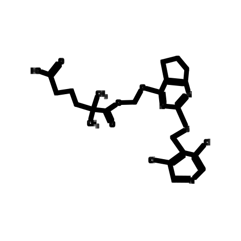 CC(C)(CCCC(=O)O)C(=O)OCOc1nc(SCc2c(Cl)cncc2Cl)nc2c1CCC2